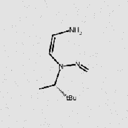 C=NN(/C=C\N)[C@@H](C)C(C)(C)C